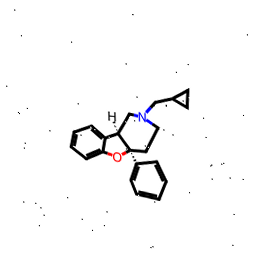 c1ccc([C@@]23CCN(CC4CC4)C[C@@H]2c2ccccc2O3)cc1